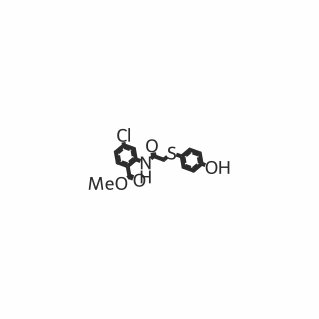 COC(=O)c1ccc(Cl)cc1NC(=O)CSc1ccc(O)cc1